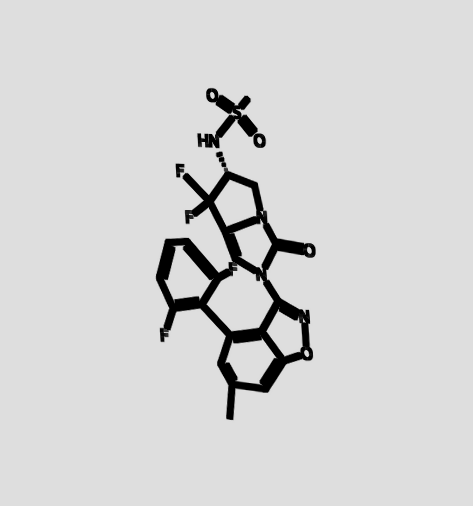 Cc1cc(-c2c(F)cccc2F)c2c(-n3cc4n(c3=O)C[C@@H](NS(C)(=O)=O)C4(F)F)noc2c1